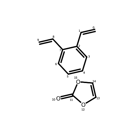 C=Cc1ccccc1C=C.O=c1occo1